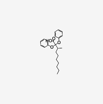 CCCCCCCC(C)C(Oc1ccccc1)(Oc1ccccc1)C(=O)O